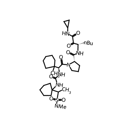 CCCC[C@H](NC(=O)[C@@H]1CCCN1C(=O)[C@@H](NC(=O)NC1(C(C)S(=O)(=O)NC)CCCCC1)C1(C)CCCCC1)C(=O)C(=O)NC1CC1